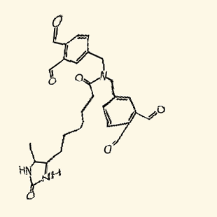 CC1NC(=O)NC1CCCCCC(=O)N(Cc1ccc(C=O)c(C=O)c1)Cc1ccc(C=O)c(C=O)c1